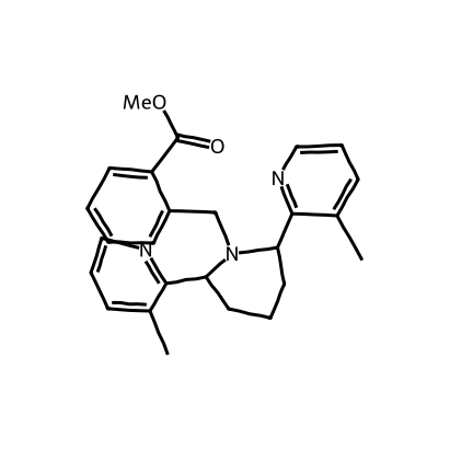 COC(=O)c1ccccc1CN1C(c2ncccc2C)CCCC1c1ncccc1C